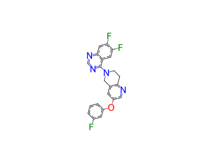 Fc1cccc(Oc2cnc3c(c2)CN(c2ncnc4cc(F)c(F)cc24)CC3)c1